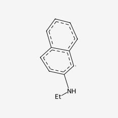 CCNc1[c]c2ccccc2cc1